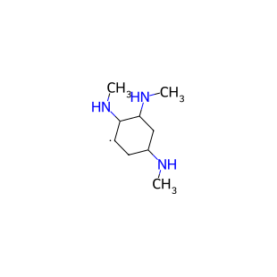 CNC1C[CH]C(NC)C(NC)C1